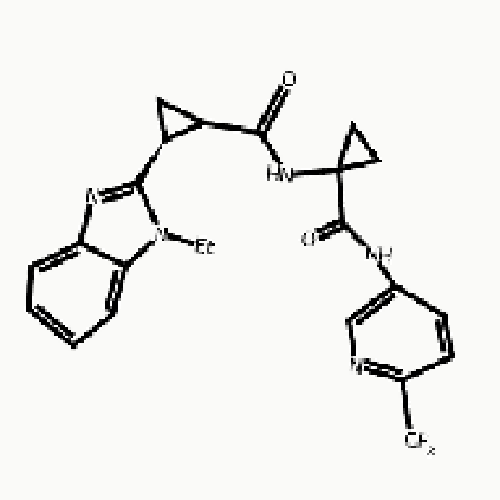 CCn1c([C@H]2CC2C(=O)NC2(C(=O)Nc3ccc(C(F)(F)F)nc3)CC2)nc2ccccc21